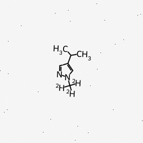 [2H]C([2H])([2H])n1cc(C(C)C)cn1